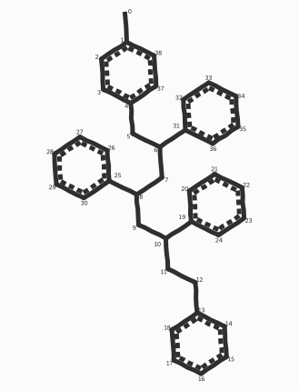 Cc1ccc(CC(CC(CC(CCc2ccccc2)c2ccccc2)c2ccccc2)c2ccccc2)cc1